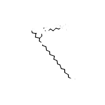 CCCCCCCCCCCCCCCCOCC(COP(O)OCCCC[N+](C)(C)C)CC(=O)CC